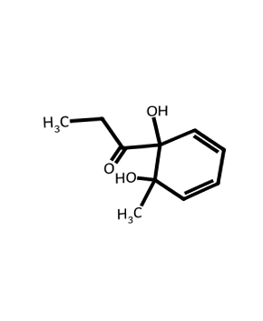 CCC(=O)C1(O)C=CC=CC1(C)O